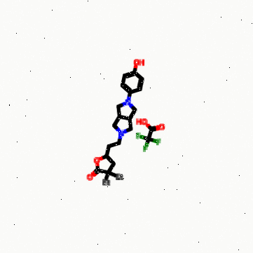 CCC1(CC)CC(CCN2CC3CN(c4ccc(O)cc4)CC3C2)OC1=O.O=C(O)C(F)(F)F